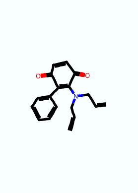 C=CCN(CC=C)C1=C(c2ccccc2)C(=O)C=CC1=O